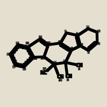 N#CC1(C#N)C2=C(CC3=C2C=CCC3)C2=Cc3ccccc3C2C1(C#N)C#N